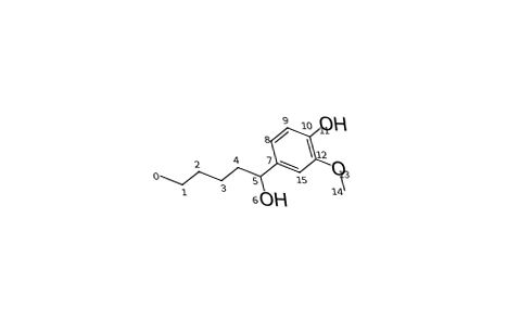 CCCCCC(O)c1ccc(O)c(OC)c1